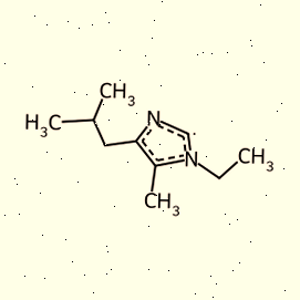 CCn1[c]nc(CC(C)C)c1C